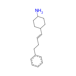 NC1CCC(/C=C/CCc2ccccc2)CC1